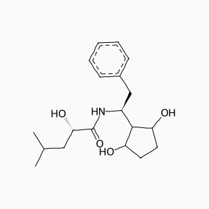 CC(C)C[C@H](O)C(=O)N[C@@H](Cc1ccccc1)C1C(O)CCC1O